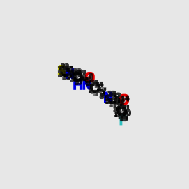 O=C(NC1CCC(CCN2CCC(C(=O)c3ccc(F)cc3)CC2)CC1)c1ccc(N2CCSCC2)cc1